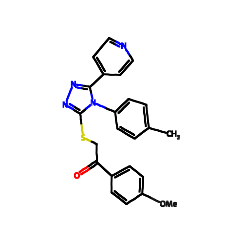 COc1ccc(C(=O)CSc2nnc(-c3ccncc3)n2-c2ccc(C)cc2)cc1